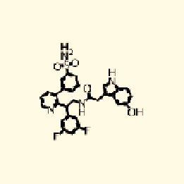 NS(=O)(=O)c1cccc(-c2cccnc2C(CNC(=O)Cc2c[nH]c3ccc(O)cc23)c2cc(F)cc(F)c2)c1